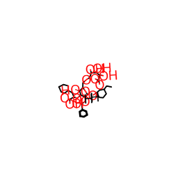 CCC1CCC[C@H]2O[C@@H]3OC(COC4OC(OC12)C(O)C(O)C4O)[C@H](O)C(OC(CC1CCCCC1)C(=O)O)C3OC(=O)c1ccccc1